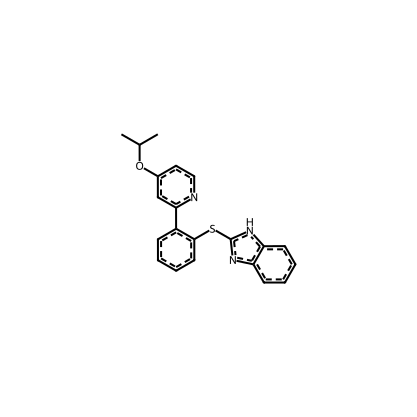 CC(C)Oc1ccnc(-c2ccccc2Sc2nc3ccccc3[nH]2)c1